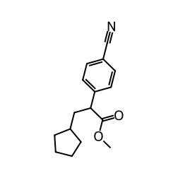 COC(=O)C(CC1CCCC1)c1ccc(C#N)cc1